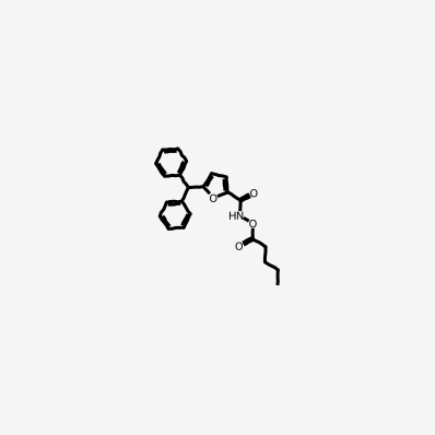 CCCCC(=O)ONC(=O)c1ccc(C(c2ccccc2)c2ccccc2)o1